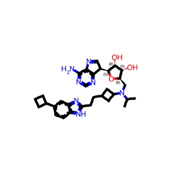 CC(C)N(C[C@H]1O[C@@H](C2C=Nc3c(N)ncnc32)[C@H](O)[C@@H]1O)C1CC(CCc2nc3cc(C4CCC4)ccc3[nH]2)C1